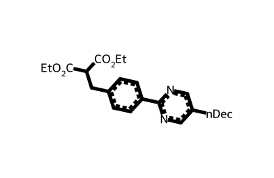 CCCCCCCCCCc1cnc(-c2ccc(CC(C(=O)OCC)C(=O)OCC)cc2)nc1